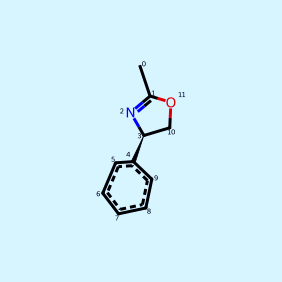 CC1=N[C@H](c2ccccc2)CO1